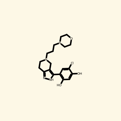 Oc1cc(O)c(-c2[nH]nc3c2CN(CCCN2CCOCC2)CC3)cc1Cl